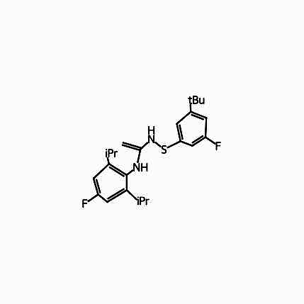 C=C(NSc1cc(F)cc(C(C)(C)C)c1)Nc1c(C(C)C)cc(F)cc1C(C)C